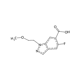 COCCn1ncc2cc(F)c(C(=O)O)cc21